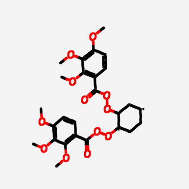 COc1ccc(C(=O)OO[C]2CC[CH]CC2OOC(=O)c2ccc(OC)c(OC)c2OC)c(OC)c1OC